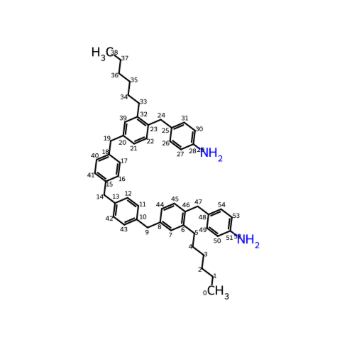 CCCCCCc1cc(Cc2ccc(Cc3ccc(Cc4ccc(Cc5ccc(N)cc5)c(CCCCCC)c4)cc3)cc2)ccc1Cc1ccc(N)cc1